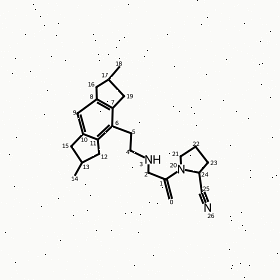 C=C(CNCCc1c2c(cc3c1CC(C)C3)CC(C)C2)N1CCCC1C#N